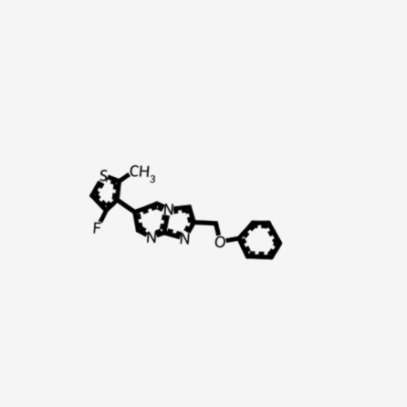 Cc1scc(F)c1-c1cnc2nc(COc3ccccc3)cn2c1